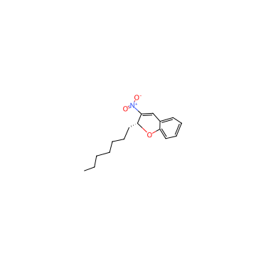 CCCCCCC[C@H]1Oc2ccccc2C=C1[N+](=O)[O-]